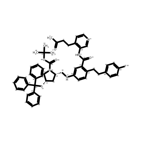 CC(=O)CCc1ccncc1NC(=O)c1cc(NC[C@@H]2C[C@H](SC(c3ccccc3)(c3ccccc3)c3ccccc3)CN2C(=O)OC(C)(C)C)ccc1CCc1ccc(F)cc1